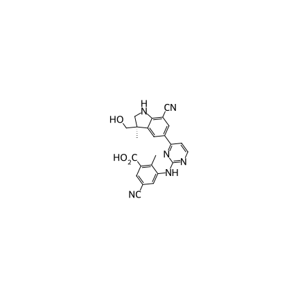 Cc1c(Nc2nccc(-c3cc(C#N)c4c(c3)[C@@](C)(CO)CN4)n2)cc(C#N)cc1C(=O)O